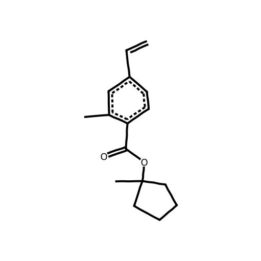 C=Cc1ccc(C(=O)OC2(C)CCCC2)c(C)c1